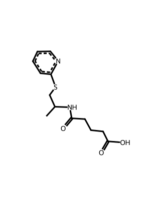 CC(CSc1ccccn1)NC(=O)CCCC(=O)O